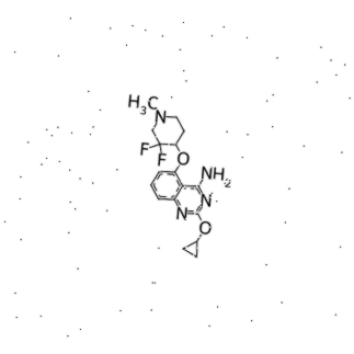 CN1CCC(Oc2cccc3nc(OC4CC4)nc(N)c23)C(F)(F)C1